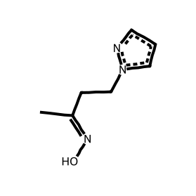 CC(CCn1cccn1)=NO